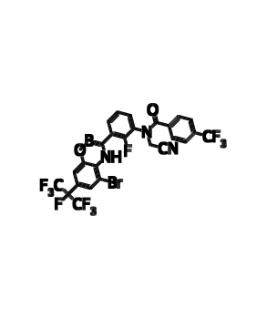 N#CCN(C(=O)c1ccc(C(F)(F)F)cc1)c1cccc(C2=BOc3cc(C(F)(C(F)(F)F)C(F)(F)F)cc(Br)c3N2)c1F